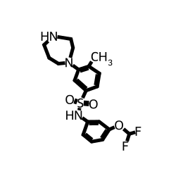 Cc1ccc(S(=O)(=O)Nc2cccc(OC(F)F)c2)cc1N1CCCNCC1